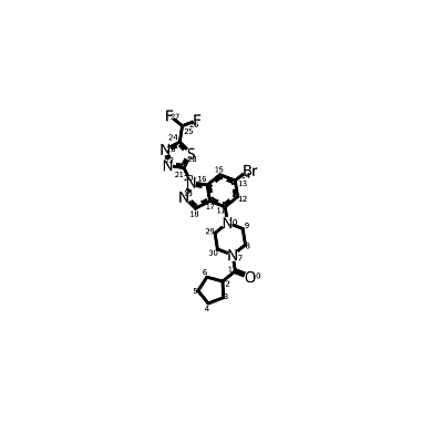 O=C(C1CCCC1)N1CCN(c2cc(Br)cc3c2cnn3-c2nnc(C(F)F)s2)CC1